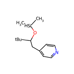 C[SiH](C)OC(Cc1ccncc1)C(C)(C)C